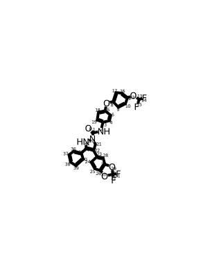 O=C(Nc1ccc(Oc2ccc(OC(F)F)cc2)cc1)N1CC(c2ccc3c(c2)OC(F)(F)O3)=C(c2ccccc2)N1